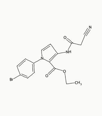 CCOC(=O)c1c(NC(=O)CC#N)ccn1-c1ccc(Br)cc1